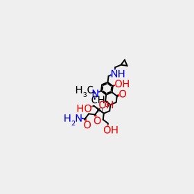 CN(C)c1cc(CNCC2CC2)c(O)c2c1CC(CC(CCO)[C@](O)(CO)C(=O)CC(N)=O)CC2=O